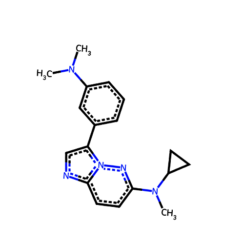 CN(C)c1cccc(-c2cnc3ccc(N(C)C4CC4)nn23)c1